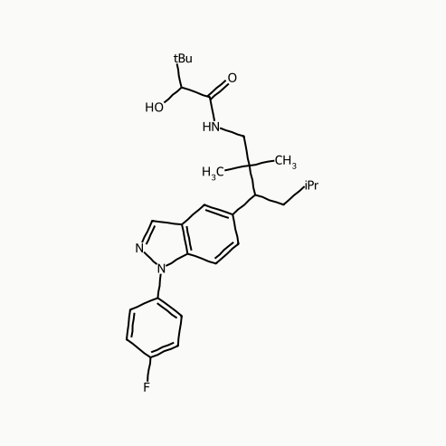 CC(C)CC(c1ccc2c(cnn2-c2ccc(F)cc2)c1)C(C)(C)CNC(=O)C(O)C(C)(C)C